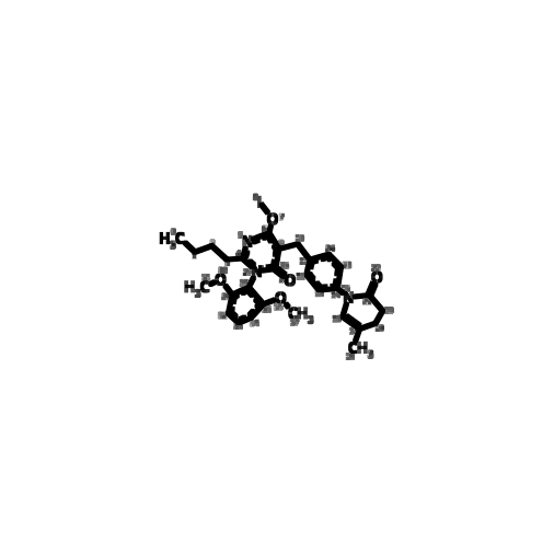 CCCCc1nc(OI)c(Cc2ccc(N3C=C(C)CCC3=O)cc2)c(=O)n1-c1c(OC)cccc1OC